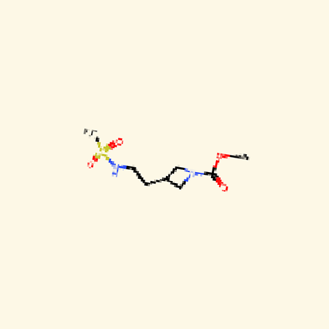 CC(C)(C)OC(=O)N1CC(CCNS(=O)(=O)C(F)(F)F)C1